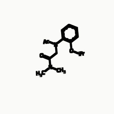 CC(=O)N(CC(=O)N(C)C)c1ccccc1OC(C)C